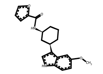 COc1ccc2[nH]cc([C@@H]3CCC[C@H](NC(=O)c4ccco4)C3)c2c1